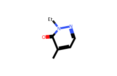 CCn1nccc(C)c1=O